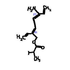 C=C/C(N)=C\C=C(/C=C)COC(=O)C(C)I